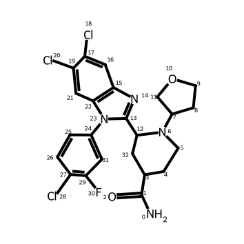 NC(=O)C1CCN(C2CCOC2)C(c2nc3cc(Cl)c(Cl)cc3n2-c2ccc(Cl)c(F)c2)C1